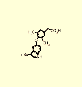 CCCCc1c[nH]c2ccc(Oc3c(C)cc(CC(=O)O)cc3C)cc12